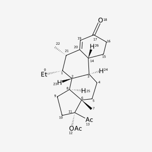 CC[C@H]1[C@@H]2[C@H](CC[C@@]3(C)[C@H]2CC[C@]3(OC(C)=O)C(C)=O)[C@H]2CCC(=O)C=C2[C@H]1C